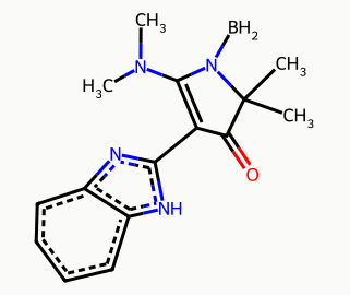 BN1C(N(C)C)=C(c2nc3ccccc3[nH]2)C(=O)C1(C)C